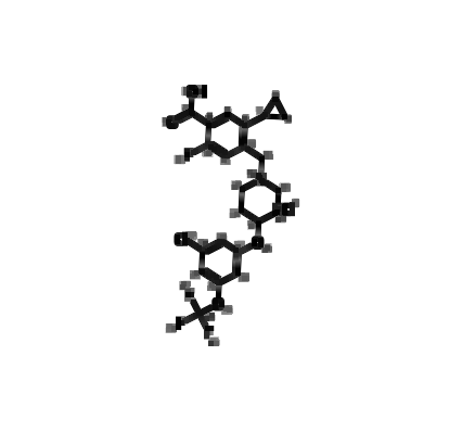 Cl.O=C(O)c1cc(C2CC2)c(CN2CCC(Oc3cc(Cl)cc(OC(F)(F)F)c3)CC2)cc1F